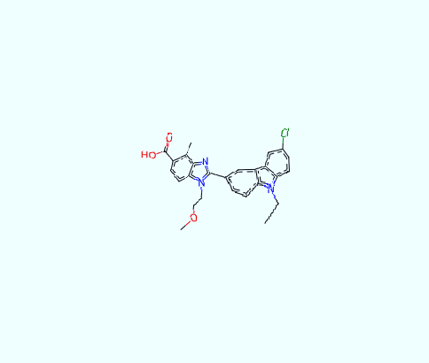 CCn1c2ccc(Cl)cc2c2cc(-c3nc4c(C)c(C(=O)O)ccc4n3CCOC)ccc21